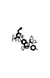 C#CCc1cnc(Oc2cc(C(=O)OC)c(N(C(=O)[C@H]3CC[C@H](C)CC3)C(COC)COC)cc2F)c(C(F)(F)F)c1